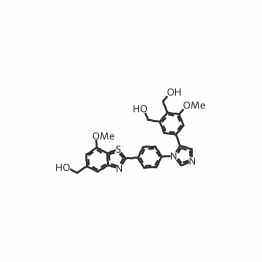 COc1cc(-c2cncn2-c2ccc(-c3nc4cc(CO)cc(OC)c4s3)cc2)cc(CO)c1CO